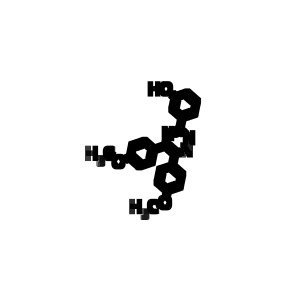 COc1ccc(-c2nnc(-c3cccc(O)c3)nc2-c2ccc(OC)cc2)cc1